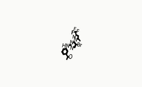 CC(=O)c1cccc(Nc2ncc(Br)c(-n3nc(C(F)(F)F)cc3C)n2)c1